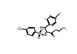 CCOC(=O)C(NS(=O)(=O)c1ccc(C)cc1)C(Br)c1ccc(Br)cc1